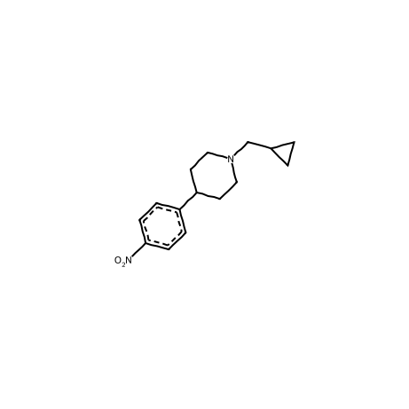 O=[N+]([O-])c1ccc(C2CCN(CC3CC3)CC2)cc1